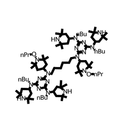 CCCCN(c1nc(N(CCCC)C2CC(C)(C)NC(C)(C)C2)nc(N(CCCCCCN(c2nc(N(CCCC)C3CC(C)(C)NC(C)(C)C3)nc(N(CCCC)C3CC(C)(C)NC(C)(C)C3)n2)C2CC(C)(C)N(OCCC)C(C)(C)C2)C2CC(C)(C)N(OCCC)C(C)(C)C2)n1)C1CC(C)(C)NC(C)(C)C1